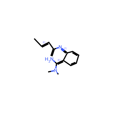 C=C(/C=C/C)/N=C1/C=CC=C/C1=C(/N)N(C)C